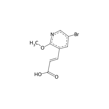 COc1ncc(Br)cc1C=CC(=O)O